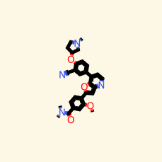 COc1cc(C(=O)N(C)C)ccc1-c1cc2nccc(-c3ccc(OC4CCN(C)C4)c(C#N)c3)c2o1